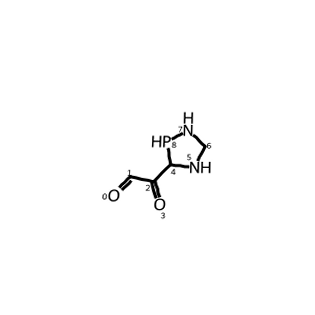 O=CC(=O)C1NCNP1